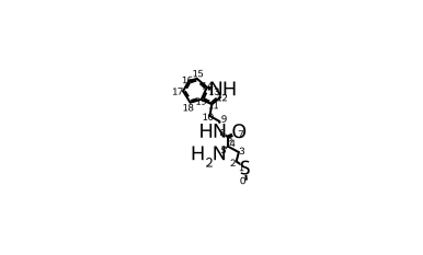 CSCC[C@@H](N)C(=O)NCCc1c[nH]c2ccccc12